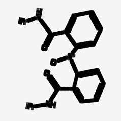 CC(C)NC(=O)c1ccccc1[S+]([O-])c1ccccc1C(=O)NC(C)C